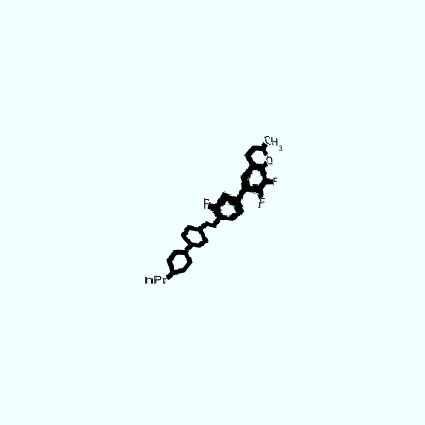 CCCC1CCC(C2CCC(CCc3ccc(-c4cc5c(c(F)c4F)OC(C)CC5)cc3F)CC2)CC1